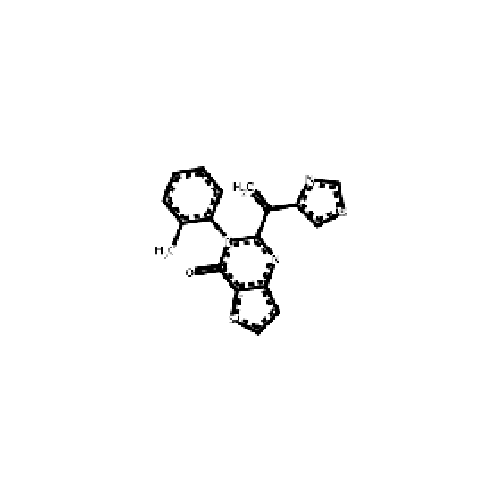 C=C(c1cscn1)c1nc2ccsc2c(=O)n1-c1ccccc1C